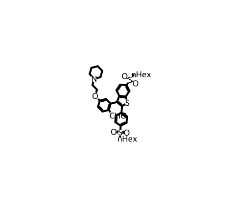 CCCCCCS(=O)(=O)c1ccc(-c2sc3cc(S(=O)(=O)CCCCCC)ccc3c2-c2cc(OCCN3CCCCC3)ccc2C=O)cc1